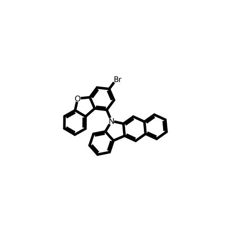 Brc1cc(-n2c3ccccc3c3cc4ccccc4cc32)c2c(c1)oc1ccccc12